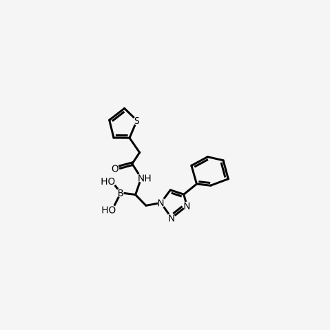 O=C(Cc1cccs1)NC(Cn1cc(-c2ccccc2)nn1)B(O)O